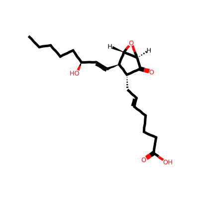 CCCCC[C@H](O)C=C[C@H]1[C@@H]2O[C@H]2C(=O)[C@@H]1CC=CCCCC(=O)O